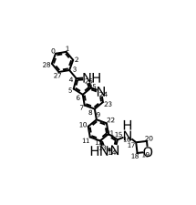 c1ccc(-c2cc3cc(-c4ccc5[nH]nc(NC6COC6)c5c4)cnc3[nH]2)cc1